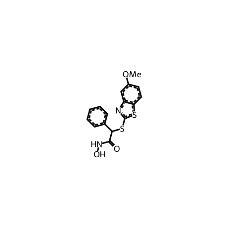 COc1ccc2sc(SC(C(=O)NO)c3ccccc3)nc2c1